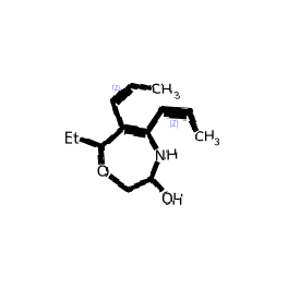 C/C=C\C1=C(/C=C\C)C(CC)OCC(O)N1